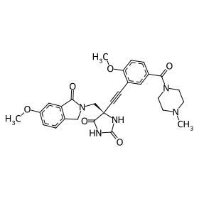 COc1ccc2c(c1)C(=O)N(C[C@@]1(C#Cc3cc(C(=O)N4CCN(C)CC4)ccc3OC)NC(=O)NC1=O)C2